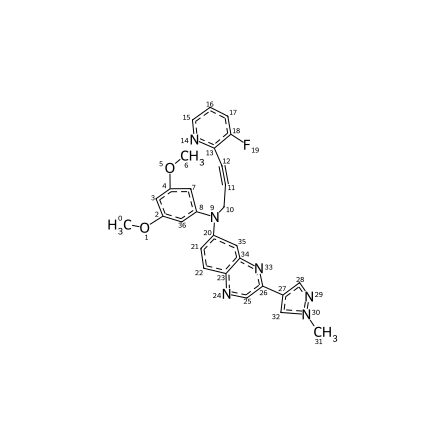 COc1cc(OC)cc(N(CC#Cc2ncccc2F)c2ccc3ncc(-c4cnn(C)c4)nc3c2)c1